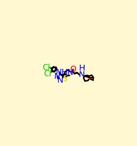 O=C(/C=C/CNC12CCCC3CC(CC3C1)C2)N1CCc2c(sc3ncnc(Nc4ccc(Cl)c(Cl)c4)c23)C1